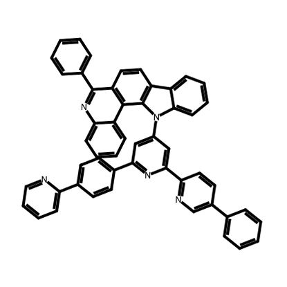 c1ccc(-c2ccc(-c3cc(-n4c5ccccc5c5ccc6c(-c7ccccc7)nc7ccccc7c6c54)cc(-c4ccc(-c5ccccn5)cc4)n3)nc2)cc1